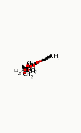 C=CCC(CC)(CC=C)C(CC=C)([SiH2]CCCCCCCCCCCCCCCCCC)C1=[C]O1